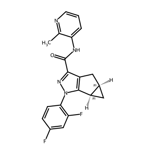 Cc1ncccc1NC(=O)c1nn(-c2ccc(F)cc2F)c2c1C[C@H]1C[C@@H]21